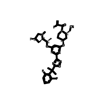 C=C(F)C(=O)N1CC[C@H](Oc2cc(O[C@@H](C)[C@@H]3C[C@@H](F)CN3C)nc(-c3noc(C(C)(C)c4c(F)cccc4F)n3)n2)C[C@H]1CC#N